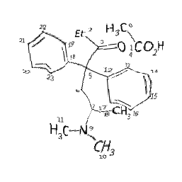 CC(=O)O.CCC(=O)C(CC(C)N(C)C)(c1ccccc1)c1ccccc1